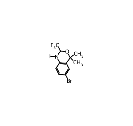 CC1(C)OC(C(F)(F)F)N(I)c2ccc(Br)cc21